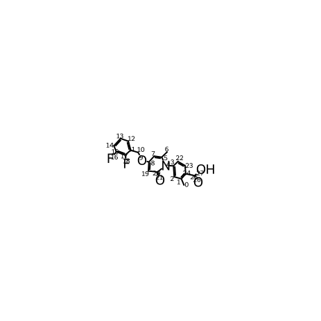 Cc1cc(-n2c(C)cc(OCc3cccc(F)c3F)cc2=O)ccc1C(=O)O